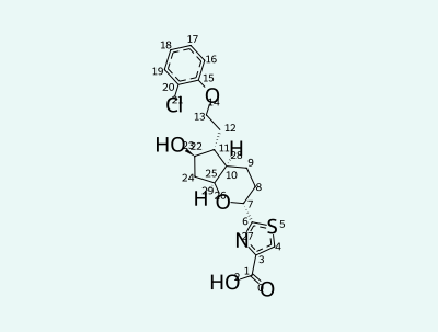 O=C(O)c1csc([C@H]2CC[C@@H]3[C@@H](CCOc4ccccc4Cl)[C@H](O)C[C@@H]3O2)n1